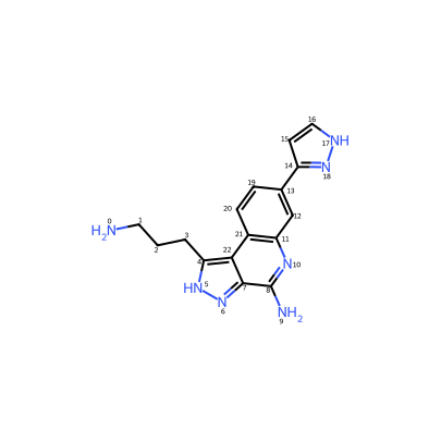 NCCCc1[nH]nc2c(N)nc3cc(-c4cc[nH]n4)ccc3c12